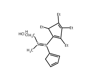 CCC1=C(CC)C(CC)[C]([Ti]([C]2=CC=CC2)=[Si](C)C)=C1CC.Cl.Cl